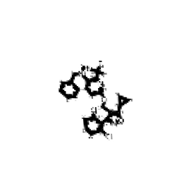 CN(Cc1ccccc1)c1ccc(OCc2c(-c3c(Cl)cccc3Cl)noc2C2CC2)nc1C(F)(F)F